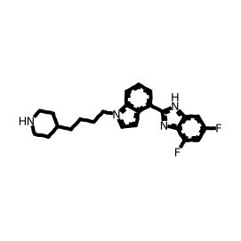 Fc1cc(F)c2nc(-c3cccc4c3ccn4CCCCC3CCNCC3)[nH]c2c1